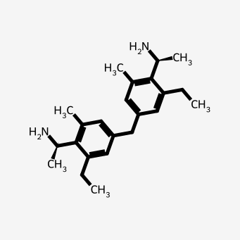 CCc1cc(Cc2cc(C)c([C@@H](C)N)c(CC)c2)cc(C)c1[C@H](C)N